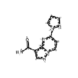 NC(=O)c1cnn2ccc(-n3cccn3)nc12